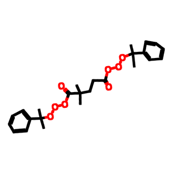 CC(C)(CCC(=O)OOOC(C)(C)c1ccccc1)C(=O)OOOC(C)(C)c1ccccc1